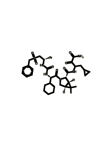 CC(C)[C@@H](CS(=O)(=O)Cc1ccccc1)NC(=O)N[C@H](C(=O)N1C[C@H]2[C@@H]([C@H]1C(=O)NC(CC1CC1)C(=O)C(N)=O)C2(C)C)C1CCCCC1